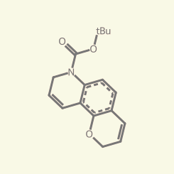 CC(C)(C)OC(=O)N1CC=Cc2c1ccc1c2OCC=C1